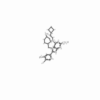 CC1CCC(Cn2c(-c3cc(C(C)C)c(F)cn3)nc3nc(C(=O)O)nc(NCCC4CCC4)c32)CC1